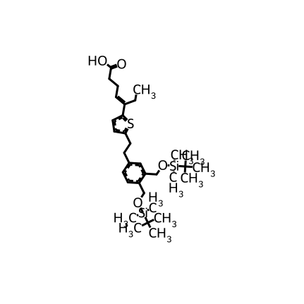 CC/C(=C\CCC(=O)O)c1ccc(CCc2ccc(CO[Si](C)(C)C(C)(C)C)c(CO[Si](C)(C)C(C)(C)C)c2)s1